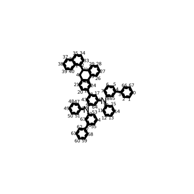 c1ccc(-c2cccc(N(c3ccccc3)c3cc(-c4ccc5c(c4)-c4ccccc4C(c4cccc6ccccc46)C5)cc(N(c4ccccc4)c4cccc(-c5ccccc5)c4)c3)c2)cc1